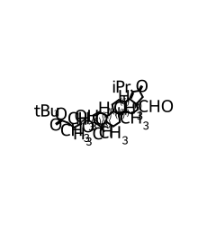 CC(C)C1=C2[C@H]3CC[C@@H]4[C@@]5(C)CC[C@H](OC(O)CC(C)(C)C(=O)OC(C)(C)C)C(C)(C)[C@@H]5CC[C@@]4(C)[C@]3(C)CC[C@@]2(C=O)CC1=O